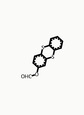 O=COc1ccc2c(c1)Sc1ccccc1S2